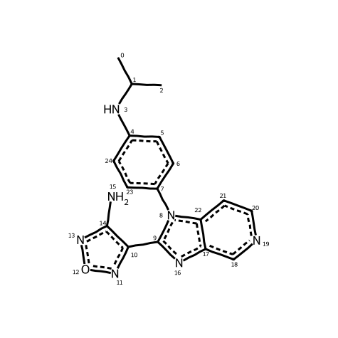 CC(C)Nc1ccc(-n2c(-c3nonc3N)nc3cnccc32)cc1